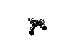 COC(=O)[C@@H]1CN(CC(=O)c2ccccc2)CN1C(=O)[C@@H](NC(=O)OC1CCCC1)C(C)(C)C